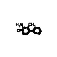 Cc1c(-c2ccccc2)ccc(=O)n1C